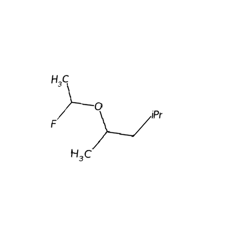 CC(C)CC(C)OC(C)F